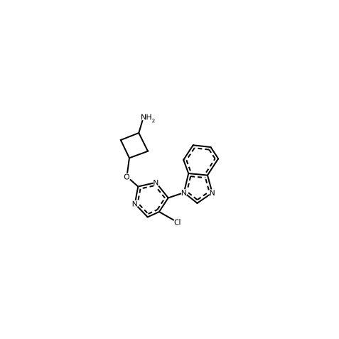 NC1CC(Oc2ncc(Cl)c(-n3cnc4ccccc43)n2)C1